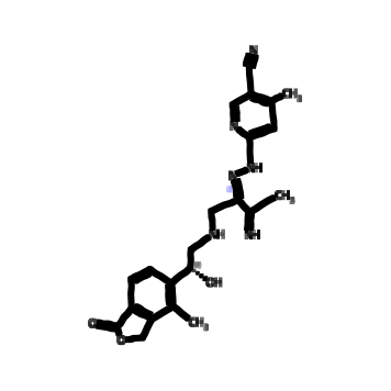 CC(=N)/C(CNC[C@H](O)c1ccc2c(c1C)COC2=O)=N\Nc1cc(C)c(C#N)cn1